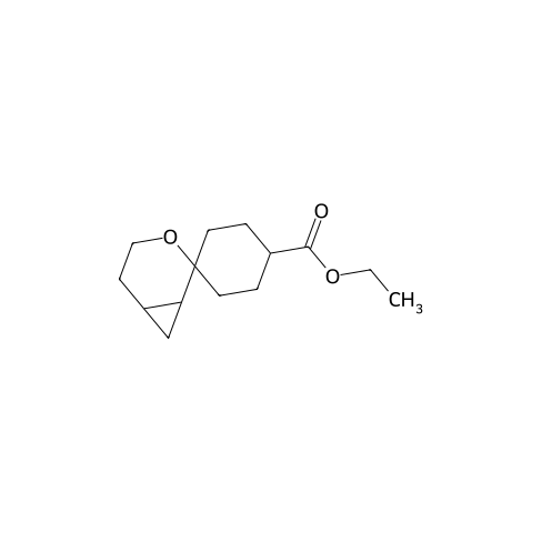 CCOC(=O)C1CCC2(CC1)OCCC1CC12